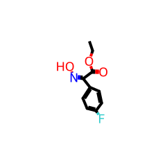 CCOC(=O)C(=NO)c1ccc(F)cc1